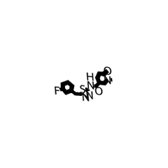 Cn1cc(C(=O)Nc2nnc(Cc3cccc(F)c3)s2)ccc1=O